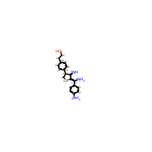 N=C1/C(=C(\N)c2ccc(N)cc2)SCC1c1ccc(CCO)cc1